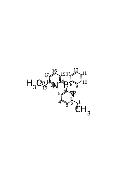 CCc1cccc(P(c2ccccc2)c2cccc(CC)n2)n1